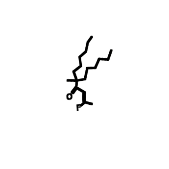 CCCCCCC(C)(CCCCCC)C(=O)/C=C(/C)F